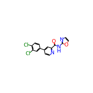 O=C(Nc1ncco1)c1cc(-c2ccc(Cl)c(Cl)c2)ccn1